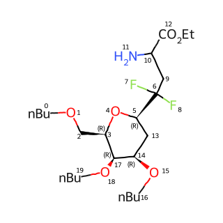 CCCCOC[C@H]1O[C@@H](C(F)(F)CC(N)C(=O)OCC)C[C@@H](OCCCC)[C@H]1OCCCC